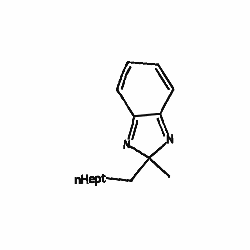 CCCCCCCCC1(C)N=c2ccccc2=N1